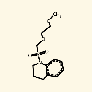 COCCOCS(=O)(=O)N1CCCc2ccccc21